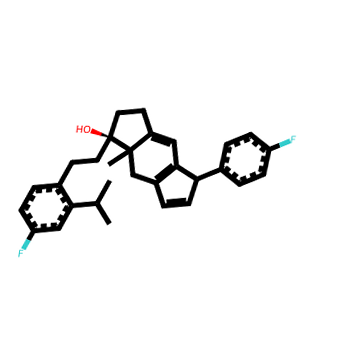 CC(C)c1cc(F)ccc1CC[C@]1(O)CCC2=CC3=C(C=CC3c3ccc(F)cc3)CC21C